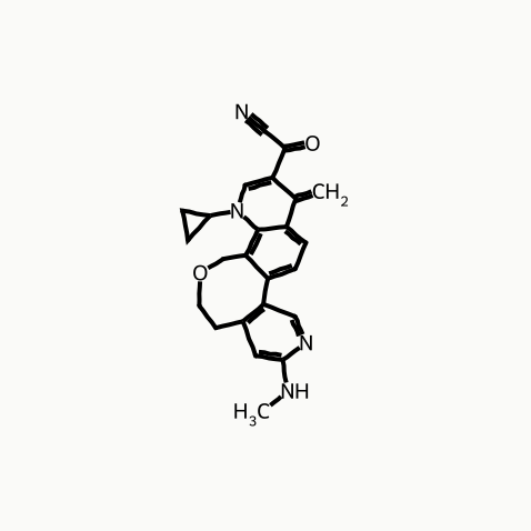 C=C1C(C(=O)C#N)=CN(C2CC2)c2c1ccc1c2COCCc2cc(NC)ncc2-1